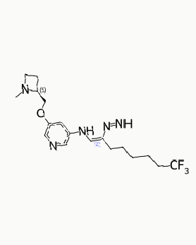 CN1CC[C@H]1COc1cncc(N/C=C(/CCCCCC(F)(F)F)N=N)c1